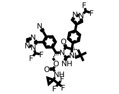 CC(C)(C)C[C@]1(c2ccc(-c3cnn(C(F)F)c3)cc2)NC(=N)N([C@H](COC(=O)NC2(C(F)(F)F)CC2)c2ccc(C#N)c(-c3ncnn3C(F)F)c2)C1=O